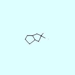 BC1(C(C)(C)C)CC2CCCC2C1